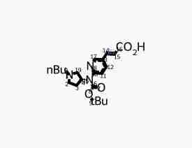 CCCCN1CC[C@@H](N(C(=O)OC(C)(C)C)c2ccc(/C=C/C(=O)O)cn2)C1